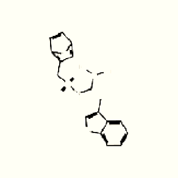 O=S(=O)(Cc1cc2ccc1o2)N[C@@H](Cc1coc2ccccc12)B(O)O